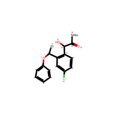 CCC(Oc1ccccc1)c1cc(Cl)ccc1C(O)C(=O)NC